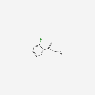 C=CCC(=C)c1ccccc1Br